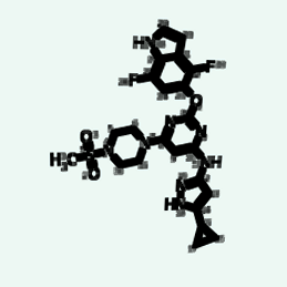 CS(=O)(=O)N1CCN(c2cc(Nc3cc(C4CC4)[nH]n3)nc(Oc3cc(F)c4[nH]ccc4c3F)n2)CC1